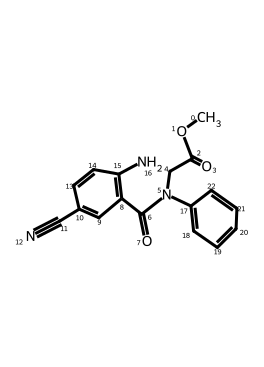 COC(=O)CN(C(=O)c1cc(C#N)ccc1N)c1ccccc1